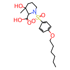 CCCCCCOc1ccc(S(=O)(=O)N2CCCC(C)(O)C2C(=O)O)cc1